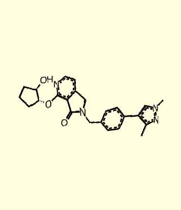 Cc1nn(C)cc1-c1ccc(CN2Cc3ccnc(O[C@@H]4CCC[C@H]4O)c3C2=O)cc1